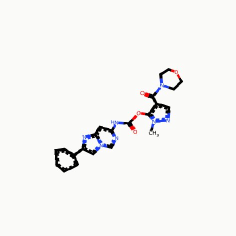 Cn1ncc(C(=O)N2CCOCC2)c1OC(=O)Nc1cc2nc(-c3ccccc3)cn2cn1